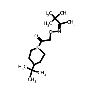 C/C(=N/OCC(=O)N1CCC(C(C)(C)C)CC1)C(C)(C)C